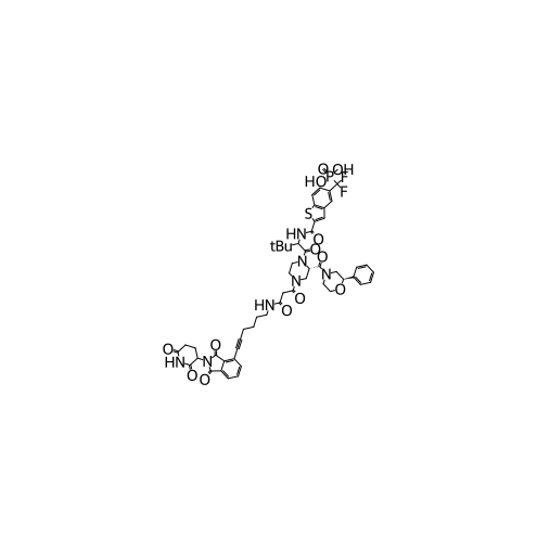 CC(C)(C)C(NC(=O)c1cc2cc(C(F)(F)P(=O)(O)O)ccc2s1)C(=O)N1CCN(C(=O)CC(=O)NCCCCC#Cc2cccc3c2C(=O)N(C2CCC(=O)NC2=O)C3=O)C[C@H]1C(=O)N1CCO[C@H](c2ccccc2)C1